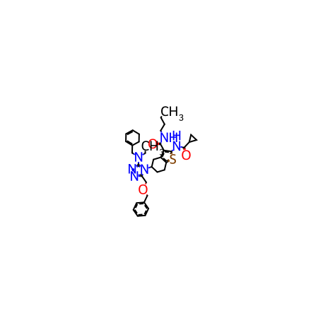 CCCCNC(=O)c1c(NC(=O)C2CC2)sc2c1CC(n1c(COCc3ccccc3)nnc1N(CC)CC1=CC=CCC1)CC2